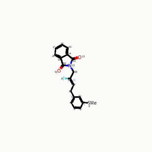 CSc1cccc(C/C=C(\F)CN2C(=O)c3ccccc3C2=O)c1